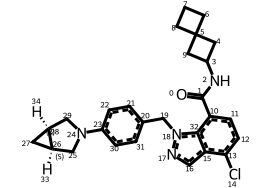 O=C(NC1CC2(CCC2)C1)c1ccc(Cl)c2cnn(Cc3ccc(N4C[C@H]5C[C@H]5C4)cc3)c12